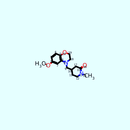 COc1ccc2c(c1)N(CC1CCN(C)C(=O)C1)CCO2